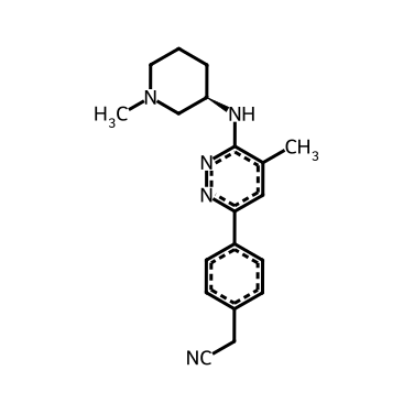 Cc1cc(-c2ccc(CC#N)cc2)nnc1N[C@@H]1CCCN(C)C1